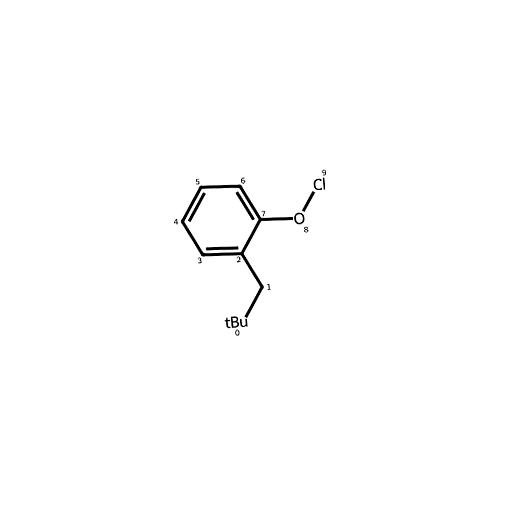 CC(C)(C)Cc1ccccc1OCl